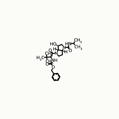 CC(C)NC(=O)N1C[C@H](O)[C@@H]2[C@H]1CCN2C(=O)C(NC(=O)OCc1ccccc1)C(C)(C)C